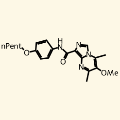 CCCCCOc1ccc(NC(=O)c2ncn3c(C)c(OC)c(C)nc23)cc1